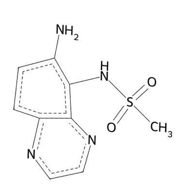 CS(=O)(=O)Nc1c(N)ccc2nccnc12